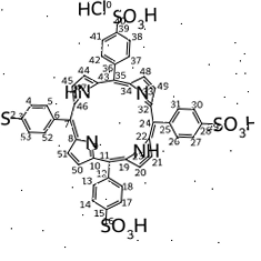 Cl.Cl.O=S(=O)(O)c1ccc(-c2c3nc(c(-c4ccc(S(=O)(=O)O)cc4)c4ccc([nH]4)c(-c4ccc(S(=O)(=O)O)cc4)c4nc(c(-c5ccc(S(=O)(=O)O)cc5)c5ccc2[nH]5)C=C4)C=C3)cc1